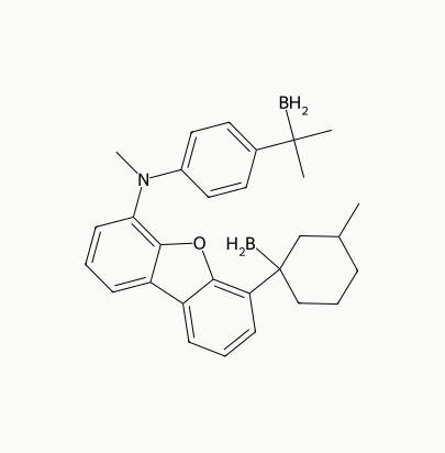 BC(C)(C)c1ccc(N(C)c2cccc3c2oc2c(C4(B)CCCC(C)C4)cccc23)cc1